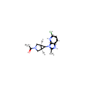 CC(=O)N1C[C@@H]2C(n3c(C)nc4ccc(Cl)nc43)[C@@H]2C1